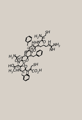 C[C@@H](O)[C@H](NC(=O)[C@H](CC(N)=O)NC(=O)[C@H](Cc1ccccc1)NC(=O)[C@H](Cc1ccccc1)NC(=O)[C@H](CCCNC(=N)N)NC(=O)[C@@H](N)CS)C(=O)N[C@@H](Cc1ccccc1)C(=O)N[C@@H](CS)C(=O)O